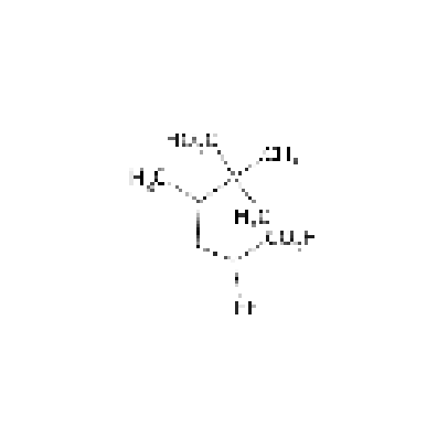 CCC(CC(C)C(C)(C)C(=O)O)C(=O)O